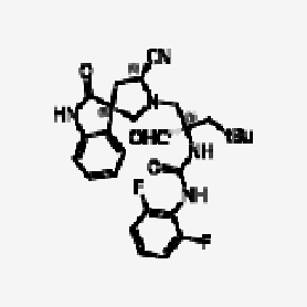 CC(C)(C)C[C@](C=O)(CN1C[C@]2(C[C@H]1C#N)C(=O)Nc1ccccc12)NC(=O)Nc1c(F)cccc1F